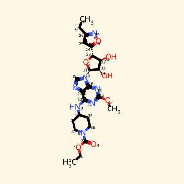 CCOC(=O)N1CCC(Nc2nc(OC)nc3c2ncn3[C@@H]2O[C@H](c3cc(CC)no3)[C@@H](O)[C@@H]2O)CC1